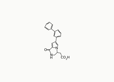 O=C(O)CC1CNC(=O)c2cc(-c3cccc(-c4ccccc4)c3)cn21